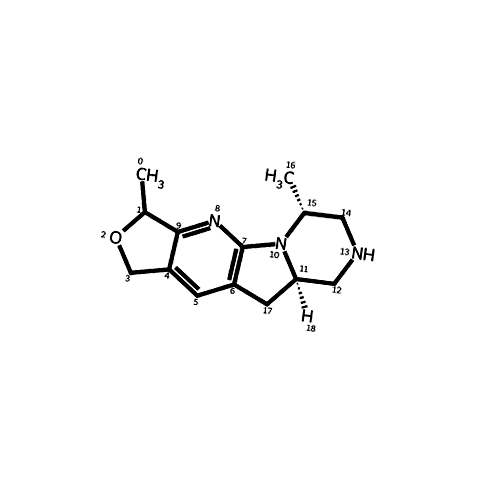 CC1OCc2cc3c(nc21)N1[C@@H](CNC[C@H]1C)C3